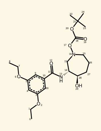 CCOc1cc(OCC)cc(C(=O)N[C@@H]2CN(OC(=O)OC(C)(C)C)CCC[C@H]2O)c1